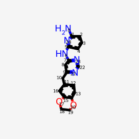 Nc1cccc(Nc2cc(Cc3ccc4c(c3)OCCO4)ncn2)n1